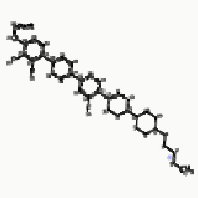 C/C=C/CCC1CCC(C2CC=C(c3ccc(-c4ccc(-c5ccc(OCCCCC)c(F)c5F)cc4)cc3F)CC2)CC1